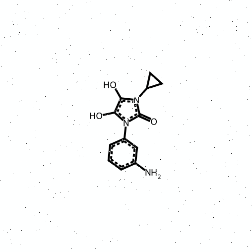 Nc1cccc(-n2c(O)c(O)n(C3CC3)c2=O)c1